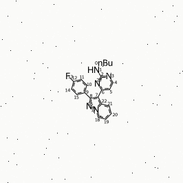 CCCCNc1nccc(-c2c(-c3ccc(F)cc3)nn3ccccc23)n1